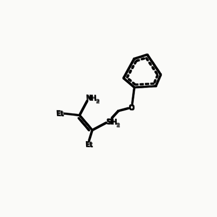 CCC(N)=C(CC)[SiH2]COc1ccccc1